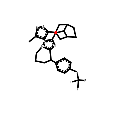 Cc1cc(N2CC3CCC(C2)C3Nc2nc3n(n2)CCCC3c2ccc(SC(F)(F)F)cc2)sn1